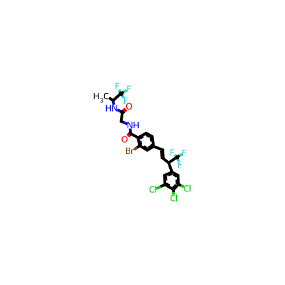 CC(NC(=O)CNC(=O)c1ccc(/C=C/C(c2cc(Cl)c(Cl)c(Cl)c2)C(F)(F)F)cc1Br)C(F)(F)F